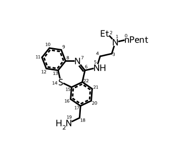 CCCCCN(CC)CCNC1=Nc2ccccc2Sc2cc(CN)ccc21